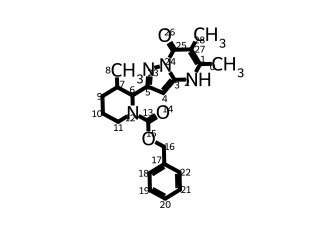 Cc1[nH]c2cc(C3C(C)CCCN3C(=O)OCc3ccccc3)nn2c(=O)c1C